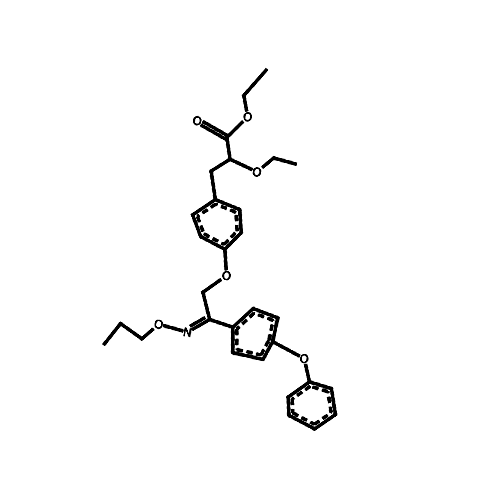 CCCO/N=C(\COc1ccc(CC(OCC)C(=O)OCC)cc1)c1ccc(Oc2ccccc2)cc1